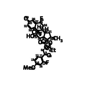 CCC(=O)O[C@]1(C(=O)OCC(=O)c2ccc(OC)cc2F)[C@H](C)C[C@H]2[C@@H]3C[C@H](F)C4=CC(=O)C=C[C@]4(C)[C@@]3(F)[C@@H](O)C[C@@]21C